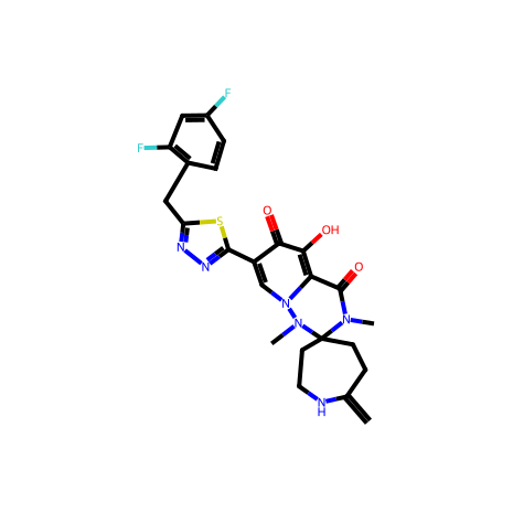 C=C1CCC2(CCN1)N(C)C(=O)c1c(O)c(=O)c(-c3nnc(Cc4ccc(F)cc4F)s3)cn1N2C